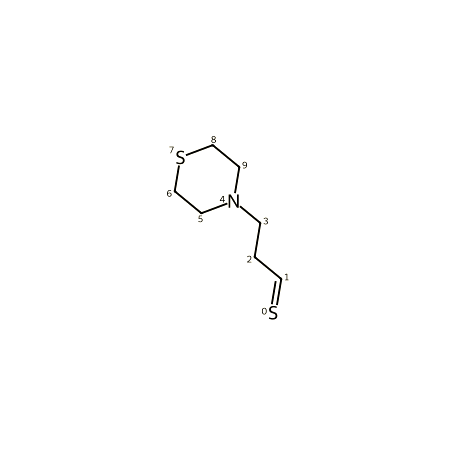 S=CCCN1CCSCC1